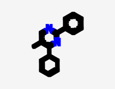 Cc1cnc(-c2ccccc2)nc1C1C=CC=CC1